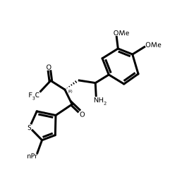 CCCc1cc(C(=O)[C@@H](CC(N)c2ccc(OC)c(OC)c2)C(=O)C(F)(F)F)cs1